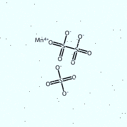 O=S(=O)([O-])S(=O)(=O)[O-].O=S(=O)([O-])[O-].[Mn+4]